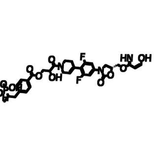 CC(Cc1ccc(C(=O)OC[C@H](O)C(=O)N2CC=C(c3c(F)cc(N4C[C@H](COC(=N)/C=C\O)OC4=O)cc3F)CC2)cc1)[PH](O)(O)O